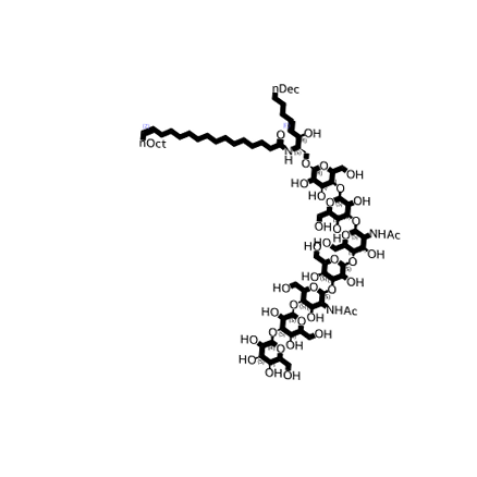 CCCCCCCC/C=C\CCCCCCCCCCCCCC(=O)N[C@@H](CO[C@@H]1OC(CO)[C@@H](O[C@@H]2OC(CO)[C@H](O)[C@H](O[C@@H]3OC(CO)[C@@H](O[C@@H]4OC(CO)[C@H](O)[C@H](O[C@@H]5OC(CO)[C@@H](O[C@@H]6OC(CO)[C@H](O)[C@H](O[C@H]7OC(CO)[C@H](O)[C@H](O)C7O)C6O)[C@H](O)C5NC(C)=O)C4O)[C@H](O)C3NC(C)=O)C2O)[C@H](O)C1O)[C@H](O)/C=C/CCCCCCCCCCCCC